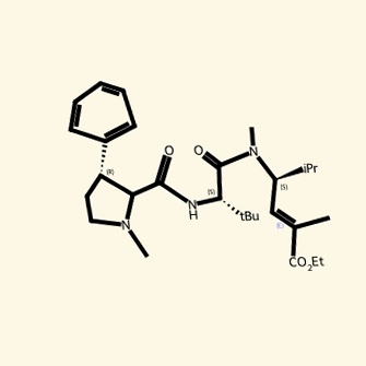 CCOC(=O)/C(C)=C/[C@H](C(C)C)N(C)C(=O)[C@@H](NC(=O)C1[C@@H](c2ccccc2)CCN1C)C(C)(C)C